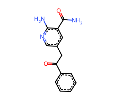 NC(=O)c1cc(CC(=O)c2ccccc2)cnc1N